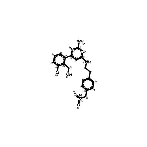 Nc1nc(NCCc2ccc(C[SH](=O)=O)cc2)cc(-c2cccc(Cl)c2CO)n1